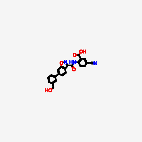 N#Cc1ccc(NC(=O)c2noc3cc(-c4cccc(CO)c4)ccc23)c(C(=O)O)c1